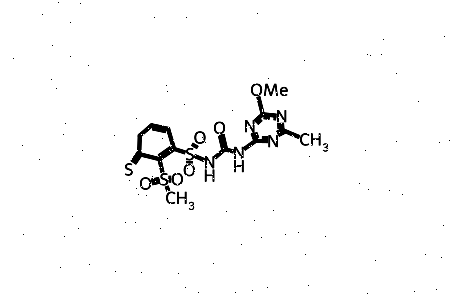 COc1nc(C)nc(NC(=O)NS(=O)(=O)C2=C(S(C)(=O)=O)C(=S)CC=C2)n1